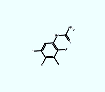 Cc1c(F)c(F)cc(NC(N)=S)c1F